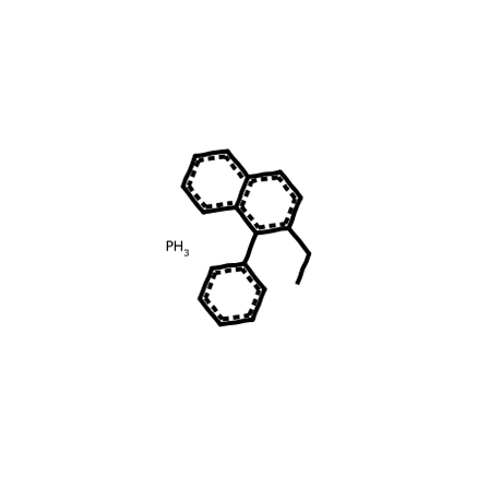 CCc1ccc2ccccc2c1-c1ccccc1.P